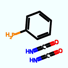 N=C=O.N=C=O.Pc1ccccc1